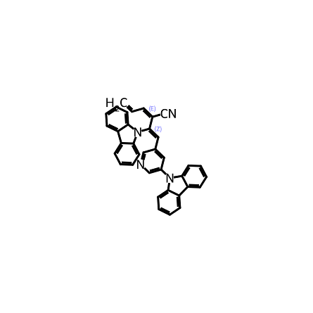 C=C/C=C(C#N)\C(=C\c1cncc(-n2c3ccccc3c3ccccc32)c1)n1c2ccccc2c2ccccc21